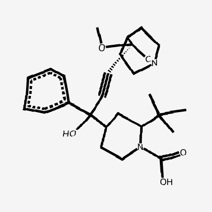 CO[C@]1(C#CC(O)(c2ccccc2)C2CCN(C(=O)O)C(C(C)(C)C)C2)CN2CCC1CC2